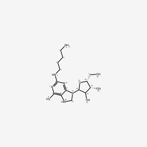 NCCCCNc1nc(S)c2c(n1)N(C1O[C@H](CO)[C@H](O)C1O)CN2